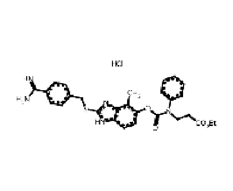 CCOC(=O)CCN(C(=O)Oc1ccc2[nH]c(SCc3ccc(C(=N)N)cc3)nc2c1C)c1ccccc1.Cl